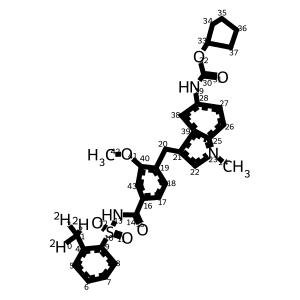 [2H]C([2H])([2H])c1ccccc1S(=O)(=O)NC(=O)c1ccc(Cc2cn(C)c3ccc(NC(=O)OC4CCCC4)cc23)c(OC)c1